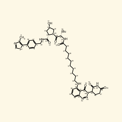 Cc1ncsc1-c1ccc(CNC(=O)[C@@H]2C[C@@H](O)CN2C(=O)[C@@H](NC(=O)CCCCCCCCCCNc2cccc3nnn(C4CCC(=O)NC4=O)c(=O)c23)C(C)(C)C)cc1